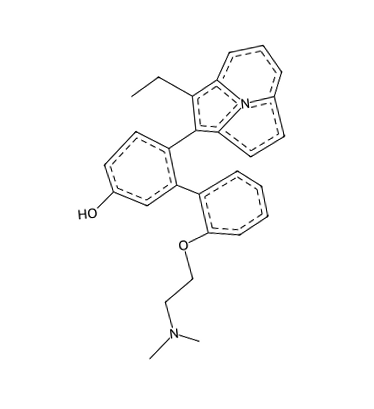 CCc1c(-c2ccc(O)cc2-c2ccccc2OCCN(C)C)c2ccc3cccc1n32